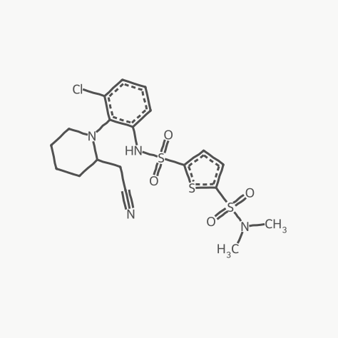 CN(C)S(=O)(=O)c1ccc(S(=O)(=O)Nc2cccc(Cl)c2N2CCCCC2CC#N)s1